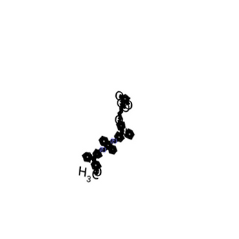 COc1ccc(N(c2ccccc2)c2ccc(/C=C/c3c4ccccc4c(/C=C/c4ccc(N(c5ccccc5)c5ccc(OCCCCC(=O)OC6C(=O)CCC6=O)cc5)cc4)c4ccccc34)cc2)cc1